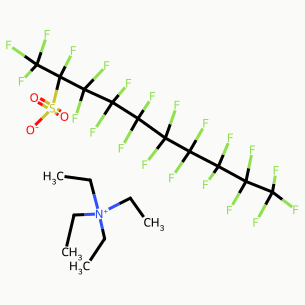 CC[N+](CC)(CC)CC.O=S(=O)([O-])C(F)(C(F)(F)F)C(F)(F)C(F)(F)C(F)(F)C(F)(F)C(F)(F)C(F)(F)C(F)(F)C(F)(F)F